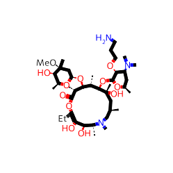 CC/C1=C(\O)[C@H](O)[C@@H](C)N(C)C[C@H](C)C[C@@](C)(O)[C@H](OC2O[C@H](C)C[C@H](N(C)C)[C@H]2OCCCN)[C@@H](C)[C@H](O[C@H]2C[C@@](C)(OC)[C@@H](O)[C@H](C)O2)[C@@H](C)C(=O)O1